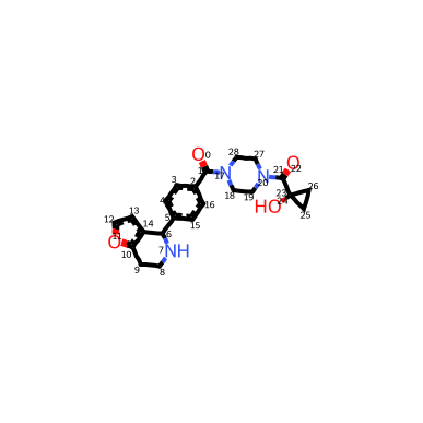 O=C(c1ccc(C2NCCc3occc32)cc1)N1CCN(C(=O)C2(O)CC2)CC1